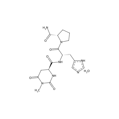 CN1C(=O)C[C@@H](C(=O)N[C@@H](Cc2cnc[nH]2)C(=O)N2CCC[C@H]2C(N)=O)NC1=O.O